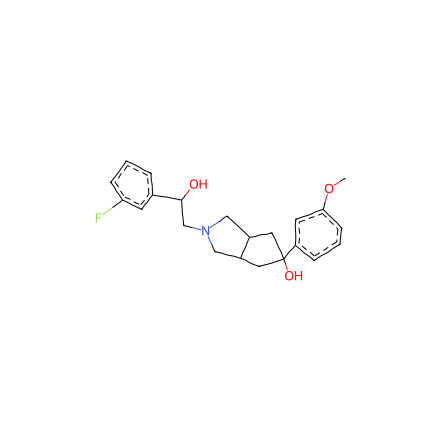 COc1cccc(C2(O)CC3CN(CC(O)c4cccc(F)c4)CC3C2)c1